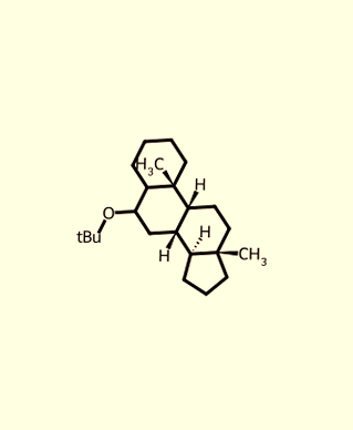 CC(C)(C)OC1C[C@@H]2[C@@H](CC[C@]3(C)CCC[C@@H]23)[C@@]2(C)CCCCC12